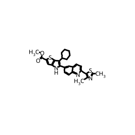 COC(=O)c1cc2[nH]c(-c3ccc4nc(-c5sc(C)nc5C)ccc4c3)c(C3CCCCC3)c2s1